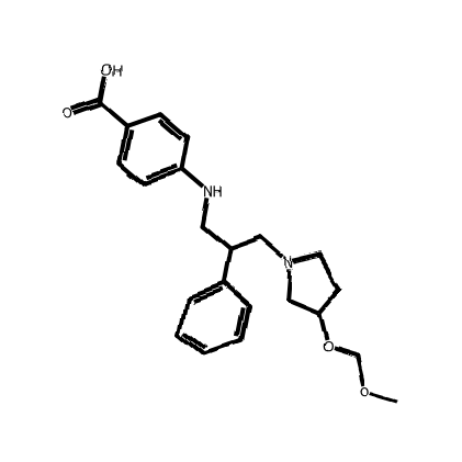 COCOC1CCN(CC(CNc2ccc(C(=O)O)cc2)c2ccccc2)C1